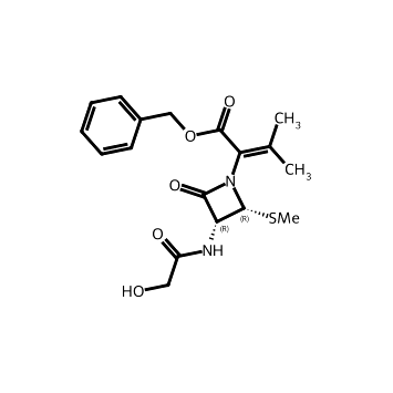 CS[C@@H]1[C@H](NC(=O)CO)C(=O)N1C(C(=O)OCc1ccccc1)=C(C)C